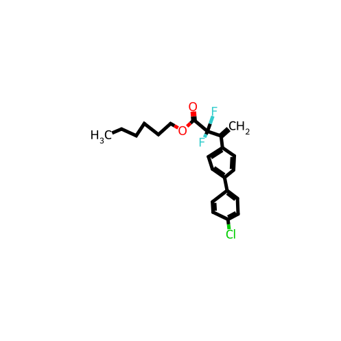 C=C(c1ccc(-c2ccc(Cl)cc2)cc1)C(F)(F)C(=O)OCCCCCC